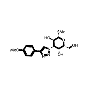 COc1ccc(-c2cn([C@H]3[C@@H](O)[C@@H](CO)O[C@@H](SC)[C@@H]3O)nn2)cc1